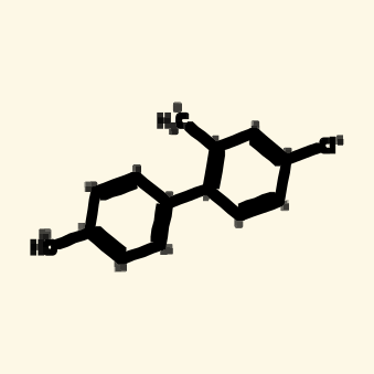 Cc1cc(Cl)ccc1-c1ccc(O)cc1